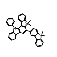 C[Si]1(C)c2ccccc2-c2cc(-c3cc4c5ccccc5n(-c5ccccc5)c4c4c3[Si](C)(C)c3ccccc3-4)ccc21